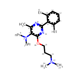 CCCN(CCC)c1c(C)nc(-c2c(CC)cccc2CC)nc1OCCCN(C)C